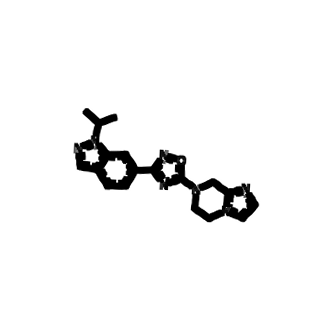 CC(C)n1ncc2ccc(-c3noc(N4CCn5ccnc5C4)n3)cc21